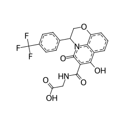 O=C(O)CNC(=O)c1c(O)c2cccc3c2n(c1=O)C(c1ccc(C(F)(F)F)cc1)CO3